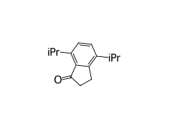 CC(C)c1ccc(C(C)C)c2c1CCC2=O